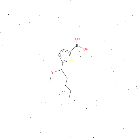 CCCCC(OC)c1sc(B(O)O)cc1C